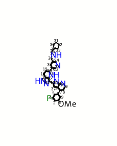 COc1cc(F)cc(-c2ccnc3[nH]c(-c4n[nH]c5ccc(-c6cncc(CNCC7CCCC7)c6)nc45)cc23)c1